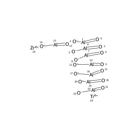 [O]=[Al][O-].[O]=[Al][O-].[O]=[Al][O-].[O]=[Al][O-].[O]=[Al][O-].[O]=[Al][O-].[O]=[Al][O-].[O]=[Al][O-].[Ti+4].[Zr+4]